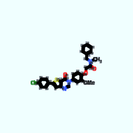 COc1cc(-n2cnc3cc(-c4ccc(Cl)cc4)sc3c2=O)ccc1OCC(=O)N(C)Cc1ccccc1